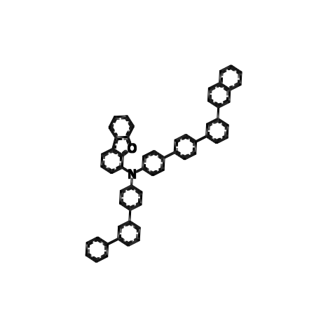 c1ccc(-c2cccc(-c3ccc(N(c4ccc(-c5ccc(-c6cccc(-c7ccc8ccccc8c7)c6)cc5)cc4)c4cccc5c4oc4ccccc45)cc3)c2)cc1